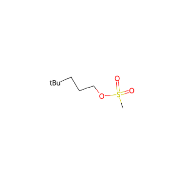 CC(C)(C)CCCOS(C)(=O)=O